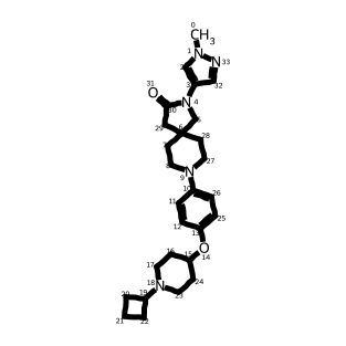 Cn1cc(N2CC3(CCN(c4ccc(OC5CCN(C6CCC6)CC5)cc4)CC3)CC2=O)cn1